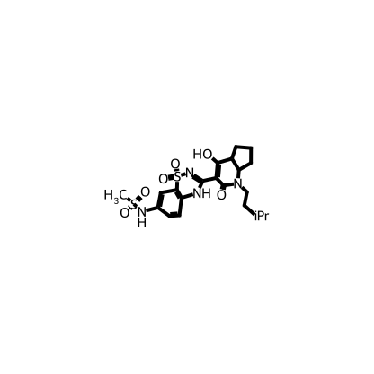 CC(C)CCN1C(=O)C(C2=NS(=O)(=O)c3cc(NS(C)(=O)=O)ccc3N2)=C(O)C2CCCC21